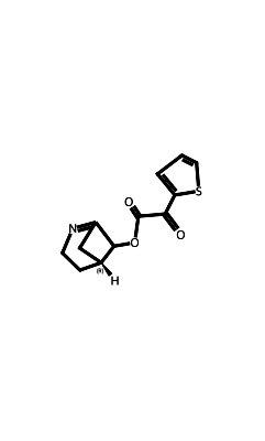 O=C(OC1C2=NCC[C@@H]1C2)C(=O)c1cccs1